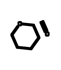 C1CCOCC1.C=O